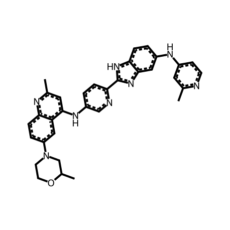 Cc1cc(Nc2ccc3[nH]c(-c4ccc(Nc5cc(C)nc6ccc(N7CCOC(C)C7)cc56)cn4)nc3c2)ccn1